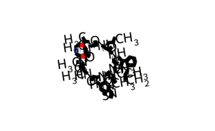 C=CC(C)(C)n1cc(C[C@@H]2NC(=O)[C@H](CCCC)NC(=O)[C@H](CC(C)C)N3CC/C=C\C[C@@H](C3=O)N(C)C(=O)[C@H](C)NC(=O)[C@H](Cc3cnc4ncsc4c3)NC(=O)[C@H](CC(C)C)N(C)C2=O)c2ccccc21